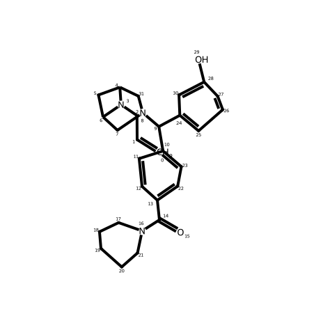 C=CCN1C2CC1CN(C(c1ccc(C(=O)N3CCCCC3)cc1)c1cccc(O)c1)C2